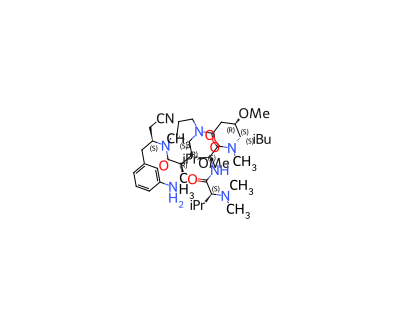 CC[C@H](C)[C@@H]([C@@H](CC(=O)N1CCC[C@H]1[C@H](OC)[C@@H](C)C(=O)N(C)[C@H](CC#N)Cc1cccc(N)c1)OC)N(C)C(=O)[C@@H](NC(=O)[C@H](C(C)C)N(C)C)C(C)C